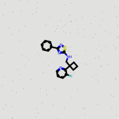 Fc1cccnc1C1(CNc2nc(-c3ccccc3)ns2)CCC1